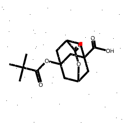 CC(C)(C)C(=O)OC12CC3CC(C(=O)O)(CC(C1)C(=O)O3)C2